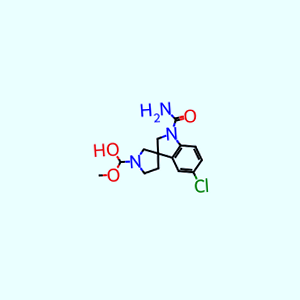 COC(O)N1CCC2(CN(C(N)=O)c3ccc(Cl)cc32)C1